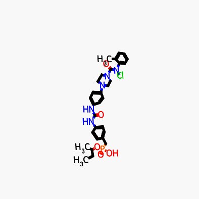 CCC(C)OP(=O)(O)Cc1ccc(NC(=O)Nc2ccc(N3CCN(C(=O)N(Cl)c4ccccc4C)CC3)cc2)cc1